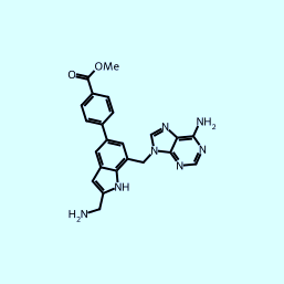 COC(=O)c1ccc(-c2cc(Cn3cnc4c(N)ncnc43)c3[nH]c(CN)cc3c2)cc1